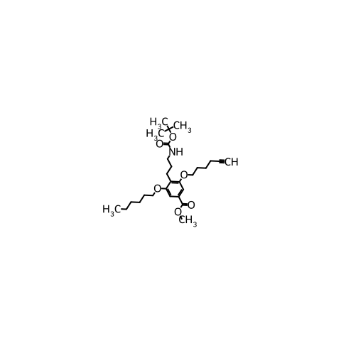 C#CCCCCOc1cc(C(=O)OC)cc(OCCCCCC)c1CCCNC(=O)OC(C)(C)C